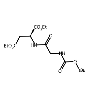 CCOC(=O)C[C@H](NC(=O)CNC(=O)OC(C)(C)C)C(=O)OCC